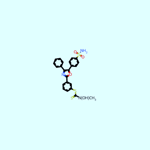 CN(O)C(=S)Sc1cccc(-c2nc(-c3ccccc3)c(-c3ccc(S(N)(=O)=O)cc3)o2)c1